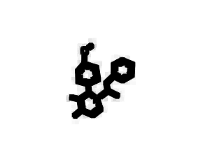 COc1ccc(C2C(C)=C(C)C=CN2C(C)Cc2ccccc2)cc1